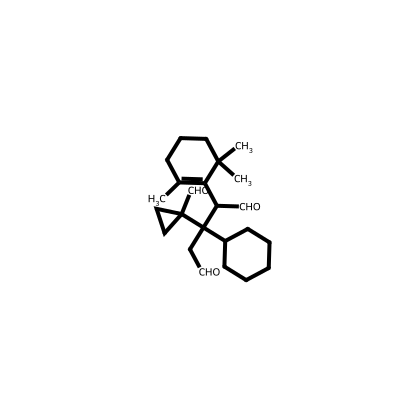 CC1=C(C(C=O)C(CC=O)(C2CCCCC2)C2(C=O)CC2)C(C)(C)CCC1